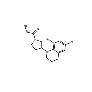 CC(C)(C)OC(=O)N1CCC(N2CCCc3cc(Cl)cc(Br)c32)C1